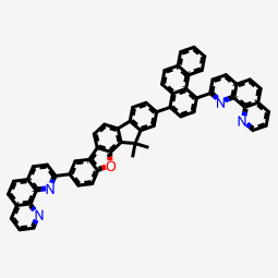 CC1(C)c2cc(-c3ccc(-c4ccc5ccc6cccnc6c5n4)c4c3ccc3ccccc34)ccc2-c2ccc3c(oc4ccc(-c5ccc6ccc7cccnc7c6n5)cc43)c21